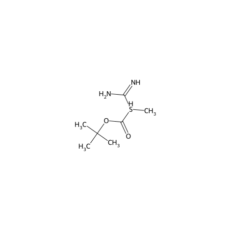 C[SH](C(=N)N)C(=O)OC(C)(C)C